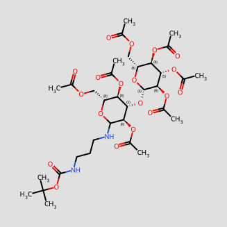 CC(=O)OC[C@H]1O[C@@H](O[C@H]2[C@H](OC(C)=O)[C@@H](COC(C)=O)OC(NCCCNC(=O)OC(C)(C)C)[C@@H]2OC(C)=O)[C@H](OC(C)=O)[C@@H](OC(C)=O)[C@@H]1OC(C)=O